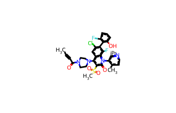 CC#CC(=O)N1CCN(c2c(S(C)(=O)=O)c(=O)n(-c3c(C)ccnc3C(C)C)c3c(F)c(-c4c(O)cccc4F)c(Cl)cc23)CC1